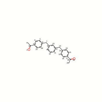 CC(=O)c1ccc(Cc2cccc(Cc3ccc(C(C)=O)cc3)c2)cc1